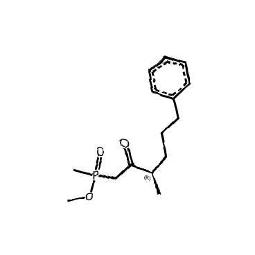 COP(C)(=O)CC(=O)[C@H](C)CCCc1ccccc1